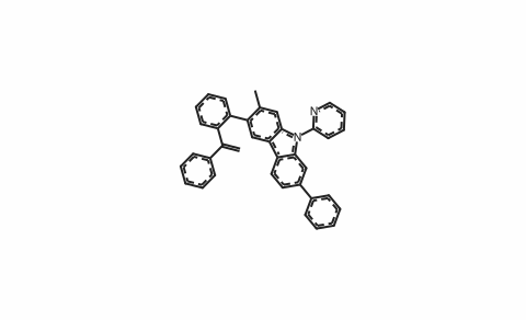 C=C(c1ccccc1)c1ccccc1-c1cc2c3ccc(-c4ccccc4)cc3n(-c3ccccn3)c2cc1C